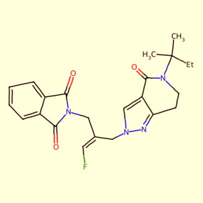 CCC(C)(C)N1CCc2nn(CC(=CF)CN3C(=O)c4ccccc4C3=O)cc2C1=O